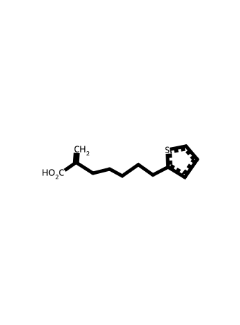 C=C(CCCCCc1cccs1)C(=O)O